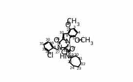 COc1ccc(OC)c2c1cc1n2CC(C)(C(=O)NC2CCCCCC2)N(Cc2ccccc2Cl)C1=O